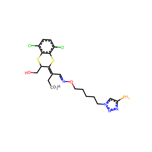 O=C(O)CC(/C=N/OCCCCCn1cc(P)nn1)=C1/Sc2c(Cl)ccc(Cl)c2SC1CO